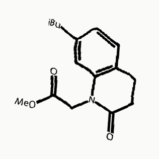 CCC(C)c1ccc2c(c1)N(CC(=O)OC)C(=O)CC2